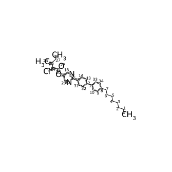 CCCCCCCCc1ccc(-c2ccc(-c3ncc(OC(=O)[C@@H](Cl)[C@@H](C)CC)cn3)cc2)cc1